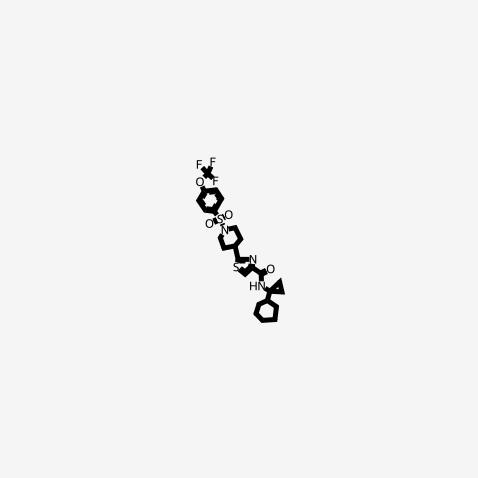 O=C(NC1(C2CCCCC2)CC1)c1csc(C2CCN(S(=O)(=O)c3ccc(OC(F)(F)F)cc3)CC2)n1